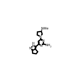 CN[C@@H]1CCN(c2cc(-c3[nH]nc4c3CCC4)nc(N)n2)C1